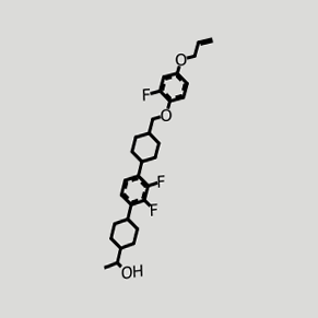 C=CCOc1ccc(OCC2CCC(c3ccc(C4CCC(C(C)O)CC4)c(F)c3F)CC2)c(F)c1